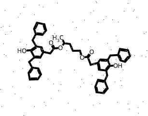 CC(CCCOC(=O)Cc1cc(Cc2ccccc2)c(O)c(Cc2ccccc2)c1)OC(=O)Cc1cc(Cc2ccccc2)c(O)c(Cc2ccccc2)c1